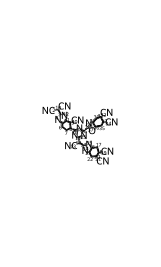 N#CC(C#N)=C1N=c2ccc(-c3nc(C(C#N)=C4N=c5cc(C#N)c(C#N)cc5=N4)nc(-c4nc5cc(C#N)c(C#N)cc5o4)n3)c(C#N)c2=N1